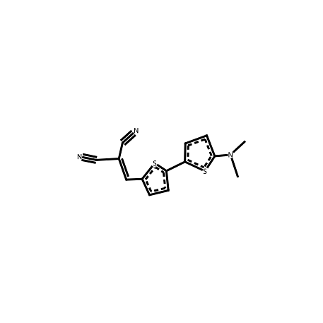 CN(C)c1ccc(-c2ccc(C=C(C#N)C#N)s2)s1